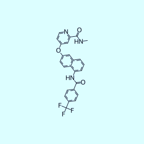 CNC(=O)c1cc(Oc2ccc3c(NC(=O)c4ccc(C(F)(F)F)cc4)cccc3c2)ccn1